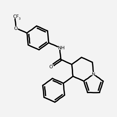 O=C(Nc1ccc(OC(F)(F)F)cc1)C1CCn2cccc2C1c1ccccc1